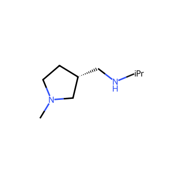 CC(C)NC[C@H]1CCN(C)C1